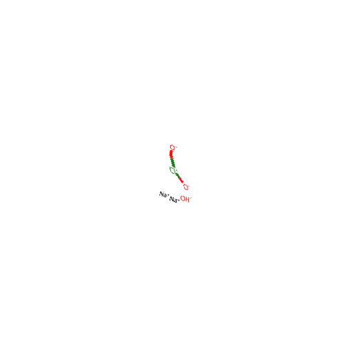 [Na+].[Na+].[O-][Cl+][O-].[OH-]